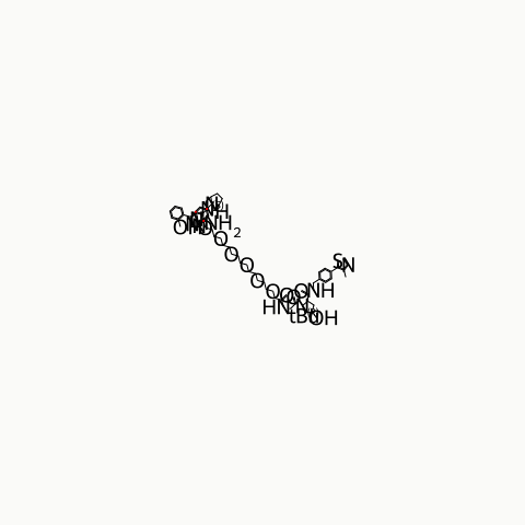 Cc1ncsc1-c1ccc(CNC(=O)C2C[C@@H](O)CN2C(=O)C(NC(=O)COCCOCCOCCOCCOCCOc2cc(N3C4CC[C@H]3CN(c3cc(-c5ccccc5O)nnc3N)C4)ccn2)C(C)(C)C)cc1